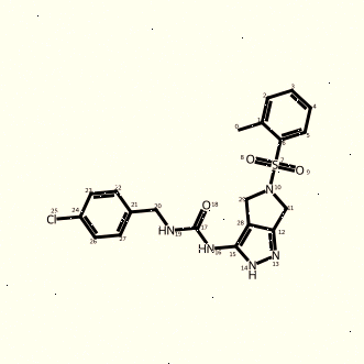 Cc1ccccc1S(=O)(=O)N1Cc2n[nH]c(NC(=O)NCc3ccc(Cl)cc3)c2C1